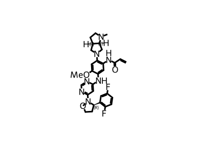 C=CC(=O)Nc1cc(Nc2cc(N3OCC[C@@H]3c3cc(F)ccc3F)ncn2)c(OC)cc1N1C[C@H]2CCN(C)[C@H]2C1